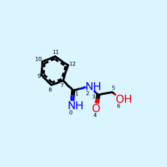 N=C(NC(=O)CO)c1ccccc1